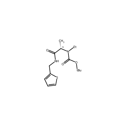 CCN(C(=O)OC(C)(C)C)[C@@H](C)C(=O)NCc1cccs1